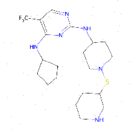 FC(F)(F)c1cnc(NC2CCN(SC3CCCNC3)CC2)nc1NC1CCCC1